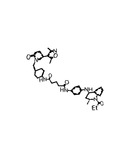 CCC(=O)N1c2ccccc2[C@H](Nc2ccc(NC(=O)CCCC(=O)NC3CCC(Cn4cc(-c5c(C)noc5C)ccc4=O)CC3)cc2)C[C@@H]1C